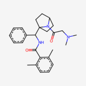 Cc1cccc(C)c1C(=O)NC(c1ccccc1)C12CCC(CC1)N2C(=O)CN(C)C